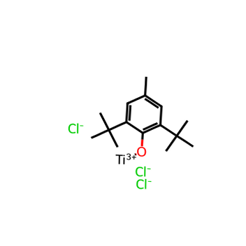 Cc1cc(C(C)(C)C)c([O][Ti+3])c(C(C)(C)C)c1.[Cl-].[Cl-].[Cl-]